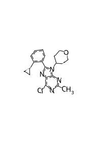 Cc1nc(Cl)c2nc(-c3ccccc3C3CC3)n(C3CCOCC3)c2n1